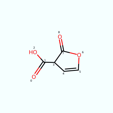 O=C(O)C1C=COC1=O